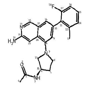 CC(=O)N[C@@H]1CCN(c2cc(-c3c(C)cccc3F)cc3cnc(N)cc23)C1